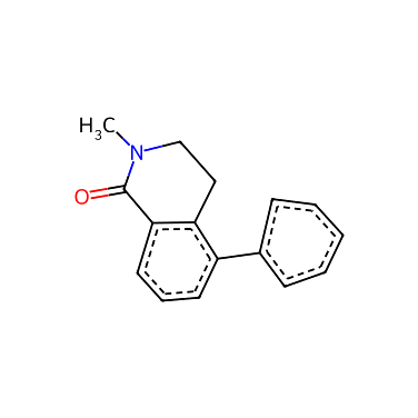 CN1CCc2c(cccc2-c2ccccc2)C1=O